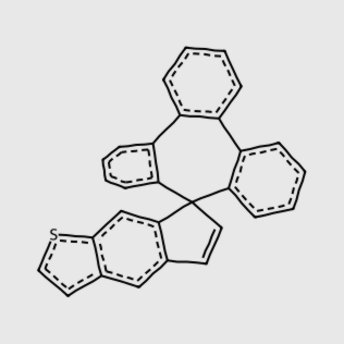 C1=CC2(c3cc4sccc4cc31)c1ccccc1-c1ccccc1-c1ccccc12